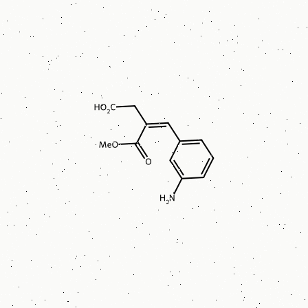 COC(=O)/C(=C\c1cccc(N)c1)CC(=O)O